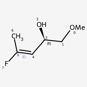 COC[C@H](O)/C=C(\C)F